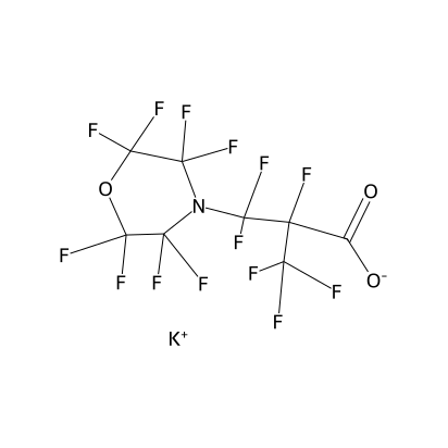 O=C([O-])C(F)(C(F)(F)F)C(F)(F)N1C(F)(F)C(F)(F)OC(F)(F)C1(F)F.[K+]